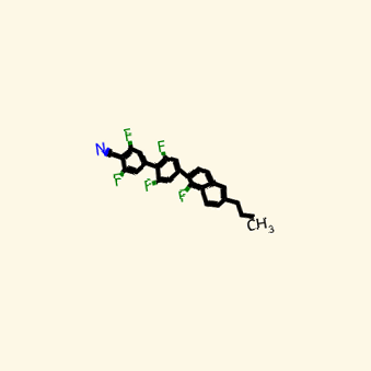 CCCCc1ccc2c(F)c(-c3cc(F)c(-c4cc(F)c(C#N)c(F)c4)c(F)c3)ccc2c1